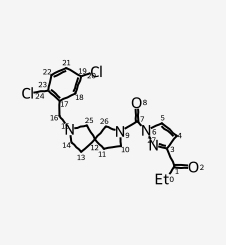 CCC(=O)c1ccn(C(=O)N2CCC3(CCN(Cc4cc(Cl)ccc4Cl)C3)C2)n1